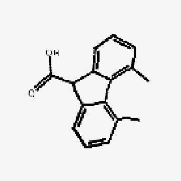 Cc1cccc2c1-c1c(C)cccc1C2C(=O)O